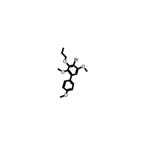 CCCOc1c(Br)c(OC)cc(-c2ccc(OC)cc2)c1OC